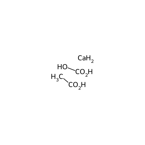 CC(=O)O.O=C(O)O.[CaH2]